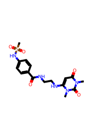 Cn1c(NCCNC(=O)c2ccc(NS(C)(=O)=O)cc2)cc(=O)n(C)c1=O